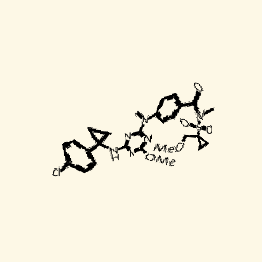 COCC1(S(=O)(=O)N(C)C(=O)c2ccc(N(C)c3nc(NC4(c5ccc(Cl)cc5)CC4)nc(OC)n3)cc2)CC1